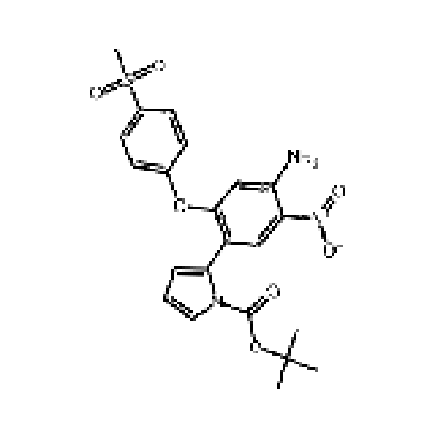 CC(C)(C)OC(=O)n1cccc1-c1cc([N+](=O)[O-])c(N)cc1Oc1ccc(S(C)(=O)=O)cc1